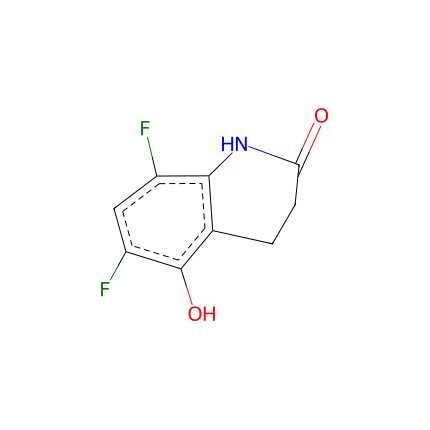 O=C1CCc2c(O)c(F)cc(F)c2N1